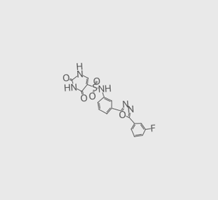 O=c1[nH]cc(S(=O)(=O)Nc2cccc(-c3nnc(-c4cccc(F)c4)o3)c2)c(=O)[nH]1